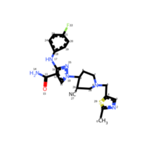 Cc1ncc(CN2CCC(n3cc(C(N)=O)c(Nc4ccc(F)cc4)n3)[C@H](C#N)C2)s1